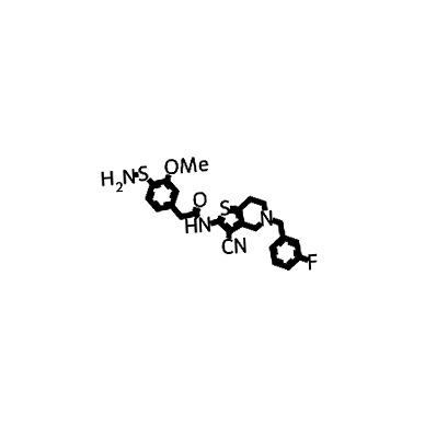 COc1cc(CC(=O)Nc2sc3c(c2C#N)CN(Cc2cccc(F)c2)CC3)ccc1SN